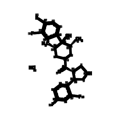 C[C@@H]1CN(C(=O)[C@@H]2CNC[C@H]2c2ccc(F)cc2F)C[C@H](C)C1(O)c1ccc(F)c(F)c1.Cl